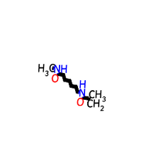 C=C(C)C(=O)NCCCCCCC(=O)NC